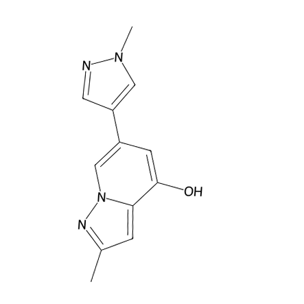 Cc1cc2c(O)cc(-c3cnn(C)c3)cn2n1